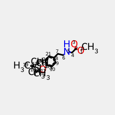 COC(=O)CNCCc1ccc(O[Si](C)(C)C(C)(C)C)cc1